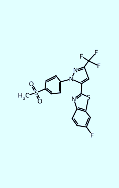 CS(=O)(=O)c1ccc(-n2nc(C(F)(F)F)cc2-c2nc3ccc(F)cc3s2)cc1